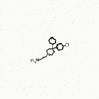 NCCCN1CCC(c2ccccc2)(c2ccc(Cl)cc2)CC1